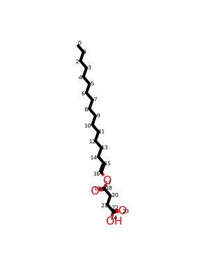 CCCCCCCCCCCCCCCC=COC(=O)CCC(=O)O